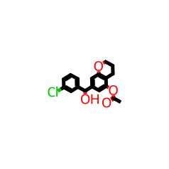 CC(=O)Oc1cc(C(O)c2cccc(Cl)c2)cc2c1CCCO2